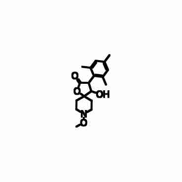 CON1CCC2(CC1)OC(=O)C(c1c(C)cc(C)cc1C)C2O